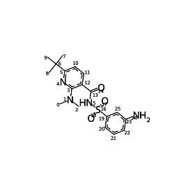 CN(C)c1nc(C(C)(C)C)ccc1C(=O)NS(=O)(=O)c1cccc(N)c1